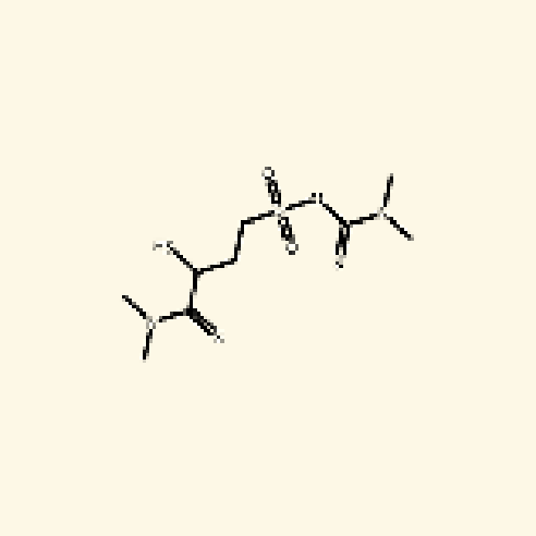 CN(C)C(=S)OS(=O)(=O)CCC(S)C(=S)N(C)C